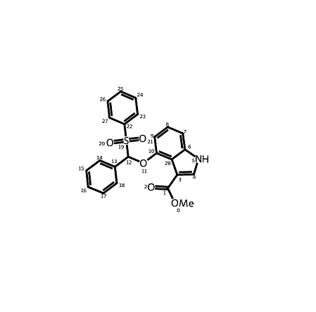 COC(=O)c1c[nH]c2cccc(OC(c3ccccc3)S(=O)(=O)c3ccccc3)c12